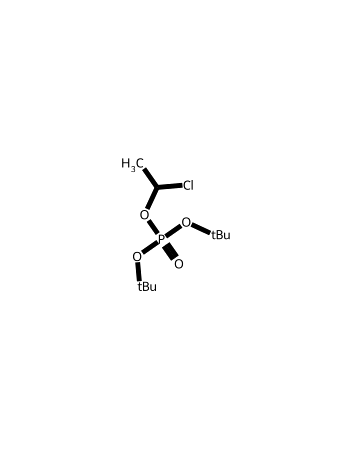 CC(Cl)OP(=O)(OC(C)(C)C)OC(C)(C)C